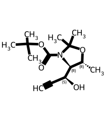 C#C[C@H](O)[C@@H]1[C@@H](C)OC(C)(C)N1C(=O)OC(C)(C)C